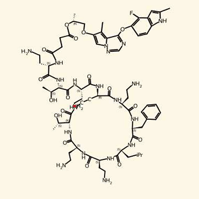 Cc1cc2c(F)c(Oc3ncnn4cc(OC[C@@H](C)OC(=O)CCC(=O)N[C@@H](CCN)C(=O)N[C@H](C(=O)N[C@@H](CCN)C(=O)N[C@@H]5CCNC(=O)[C@@H]([C@H](C)O)NC(=O)[C@H](CCN)NC(=O)[C@H](CCN)NC(=O)[C@H](CC(C)C)NC(=O)[C@H](Cc6ccccc6)NC(=O)[C@H](CCN)NC5=O)[C@H](C)O)c(C)c34)ccc2[nH]1